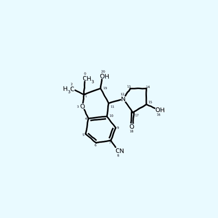 CC1(C)Oc2ccc(C#N)cc2C(N2CCC(O)C2=O)C1O